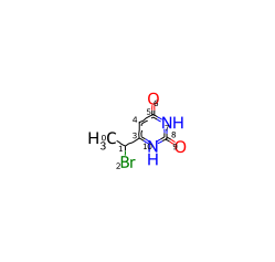 CC(Br)c1cc(=O)[nH]c(=O)[nH]1